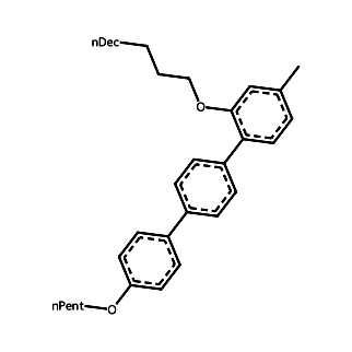 CCCCCCCCCCCCCOc1cc(C)ccc1-c1ccc(-c2ccc(OCCCCC)cc2)cc1